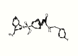 CC(C)c1cn(S(=O)(=O)c2ccc(C(=O)NCc3ccc(F)cc3)cc2)c2ccccc12